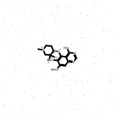 COc1cc2ncnc(O)c2c(O[C@@H]2CCN(C)CC2(F)F)c1OC